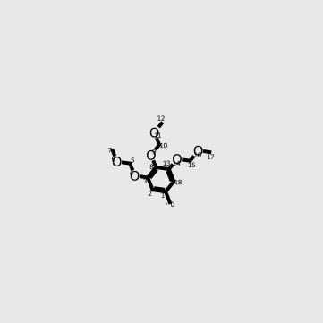 [CH2]c1cc(OCOC)c(OCOC)c(OCOC)c1